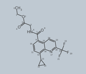 CCOC(=O)CNC(=O)c1ccc(C2CC2)c2nc(C(F)(F)F)ccc12